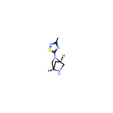 Cc1nsc(N2C[C@@H]3C[C@H]2CN3)n1